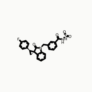 O=C(N[SH](=O)=O)c1cccc(CN2C(=O)[C@@]3(C[C@H]3c3ccc(F)cc3)c3ccccc32)c1